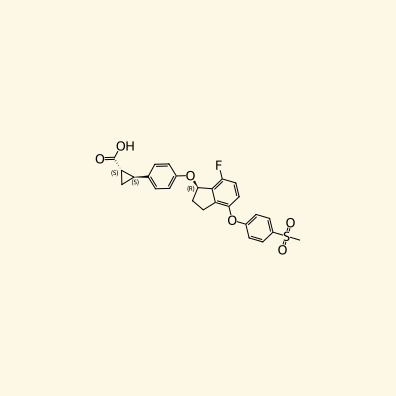 CS(=O)(=O)c1ccc(Oc2ccc(F)c3c2CC[C@H]3Oc2ccc([C@H]3C[C@@H]3C(=O)O)cc2)cc1